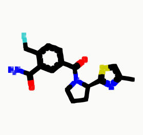 Cc1csc([C@H]2CCCN2C(=O)c2ccc(CF)c(C(N)=O)c2)n1